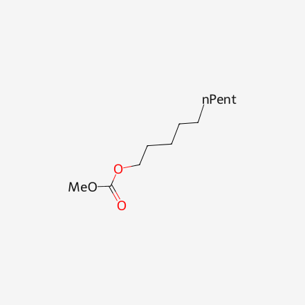 CCCCCCCCCCOC(=O)OC